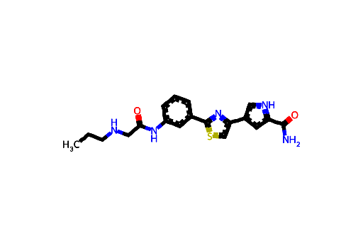 CCCNCC(=O)Nc1cccc(-c2nc(-c3c[nH]c(C(N)=O)c3)cs2)c1